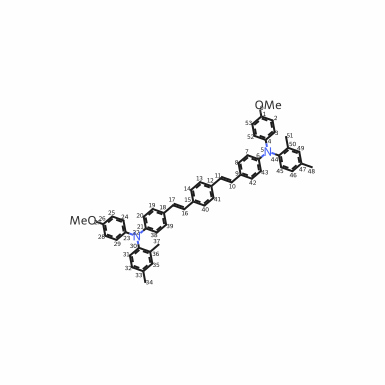 COc1ccc(N(c2ccc(C=Cc3ccc(C=Cc4ccc(N(c5ccc(OC)cc5)c5ccc(C)cc5C)cc4)cc3)cc2)c2ccc(C)cc2C)cc1